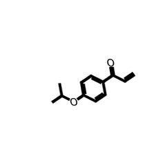 C=CC(=O)c1ccc(OC(C)C)cc1